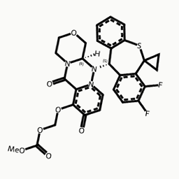 COC(=O)OCOc1c2n(ccc1=O)N([C@@H]1c3ccccc3SC3(CC3)c3c1ccc(F)c3F)[C@@H]1COCCN1C2=O